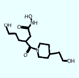 O=C(CC(CCCO)C(=O)N1CCC(CCO)CC1)NO